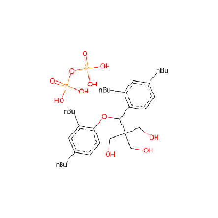 CCCCc1ccc(OC(c2ccc(CCCC)cc2CCCC)C(CO)(CO)CO)c(CCCC)c1.O=P(O)(O)OP(=O)(O)O